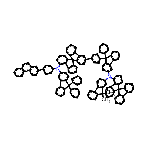 CC1(C)c2ccccc2-c2ccc(N(c3ccc4c(c3)-c3ccccc3C4(c3ccccc3)c3ccc(-c4ccc5c(c4)-c4ccccc4C54c5ccccc5-c5c(N(c6ccc(-c7ccc8c(ccc9ccccc98)c7)cc6)c6ccc7c(c6)-c6ccccc6C7(c6ccccc6)c6ccccc6)cccc54)cc3)c3cccc4c3-c3ccccc3C43c4ccccc4-c4ccccc43)cc21